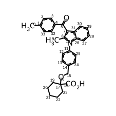 Cc1ccc(C(=O)c2c(C)n(-c3ccc(COC4(C(=O)O)CCCCC4)cc3)c3ccccc23)cc1